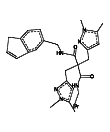 Cc1cc(CC(Cc2cc(C)n(C)n2)(C(=O)NCc2ccc3c(c2)C=CC3)C(=O)NCC(C)C)nn1C